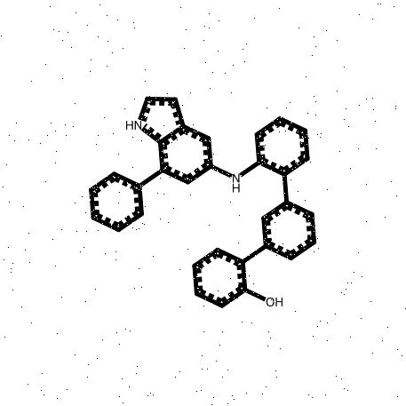 Oc1ccccc1-c1cccc(-c2ccccc2Nc2cc(-c3ccccc3)c3[nH]ccc3c2)c1